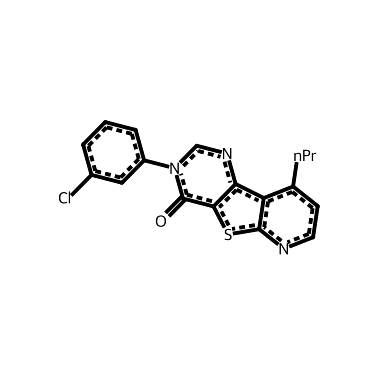 CCCc1ccnc2sc3c(=O)n(-c4cccc(Cl)c4)cnc3c12